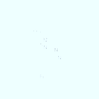 CC(C)c1ccc(-c2nc3ccccn3c2CN2CC3CCC2CN3C(=O)C2CCCC2)cc1